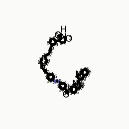 O=C1CCC(c2cccc(C#CCCN3CCN(CC#Cc4ccc(/C=C/c5ccc(C(=O)N6CCc7cnc(-c8cnc9ccccc9c8)nc7C6)cc5)cc4)CC3)c2)C(=O)N1